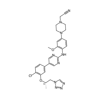 COc1cc(N2CCN(CC#N)CC2)ccc1Nc1ncc(-c2ccc(Cl)c(O[C@@H](C)Cn3cnnn3)c2)cn1